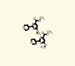 COC(=O)c1cc(OC)nc(C2=CCOCC2)n1.COC(=O)c1cc(OC)nc(C2=CCOCC2)n1